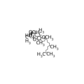 CCCC(CP(=O)(O)O)Oc1c(C)c(C)c2c(c1C)CCC(C)(CCCC(C)CCCC(C)C)O2